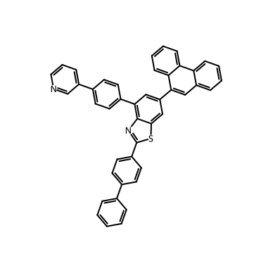 c1ccc(-c2ccc(-c3nc4c(-c5ccc(-c6cccnc6)cc5)cc(-c5cc6ccccc6c6ccccc56)cc4s3)cc2)cc1